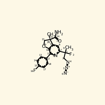 CC(F)(CN=[N+]=[N-])c1cc2c(c(-c3ccc(F)cc3)n1)OC[C@]2(C)C(N)=O